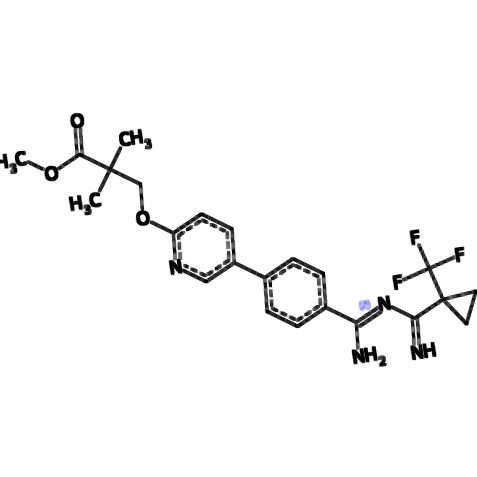 COC(=O)C(C)(C)COc1ccc(-c2ccc(/C(N)=N/C(=N)C3(C(F)(F)F)CC3)cc2)cn1